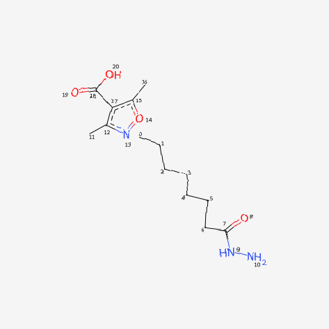 CCCCCCCC(=O)NN.Cc1noc(C)c1C(=O)O